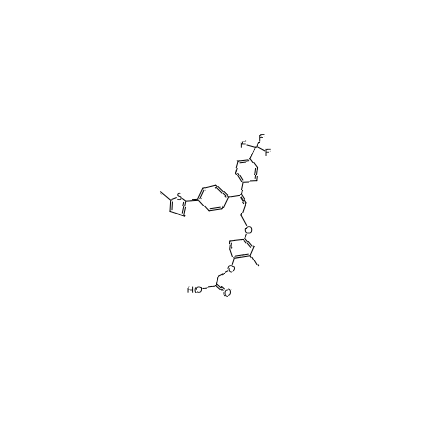 Cc1ccc(-c2ccc(/C(=C\COc3ccc(OCC(=O)O)c(C)c3)c3ccc(C(F)(F)F)cc3)cc2)s1